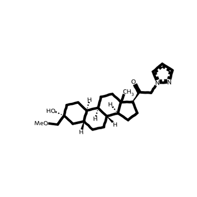 COC[C@@]1(O)CC[C@@H]2[C@H](CC[C@@H]3[C@@H]2CCC2(C)[C@@H](C(=O)Cn4cccn4)CC[C@@H]32)C1